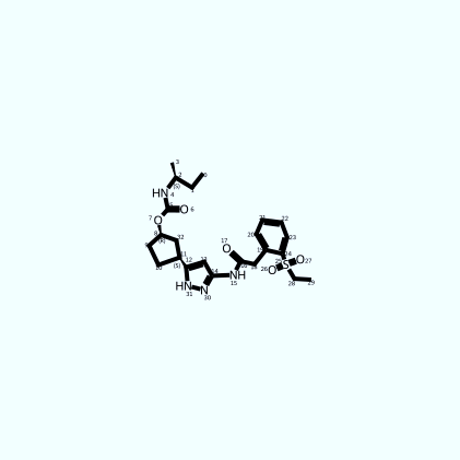 CC[C@H](C)NC(=O)O[C@@H]1CC[C@H](c2cc(NC(=O)Cc3ccccc3S(=O)(=O)CC)n[nH]2)C1